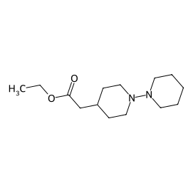 CCOC(=O)CC1CCN(N2CCCCC2)CC1